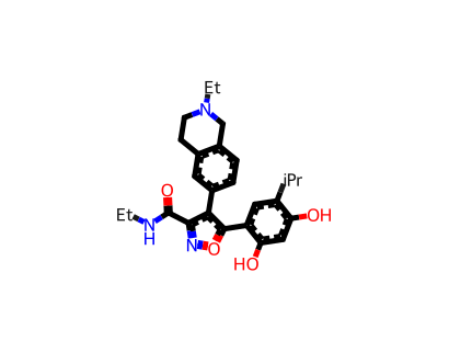 CCNC(=O)c1noc(-c2cc(C(C)C)c(O)cc2O)c1-c1ccc2c(c1)CCN(CC)C2